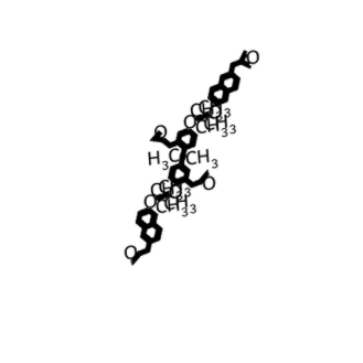 CC(C)(c1ccc(OC(C)(C)C(C)(C)Oc2ccc3cc(CC4CO4)ccc3c2)c(CC2CO2)c1)c1ccc(OC(C)(C)C(C)(C)Oc2ccc3cc(CC4COC4)ccc3c2)cc1CC1CO1